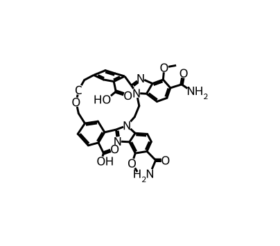 COc1c(C(N)=O)ccc2c1nc1n2CCn2c(nc3c(OC)c(C(N)=O)ccc32)-c2cc(ccc2C(=O)O)COCCc2ccc-1c(C(=O)O)c2